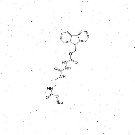 CC(C)(C)OC(=O)NCCNC(=O)NNC(=O)OCC1c2ccccc2-c2ccccc21